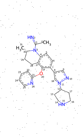 CC(=N)N1c2ccc(-c3cnn(C4CCNCC4)c3)c(Oc3ccccn3)c2CC[C@@H]1C